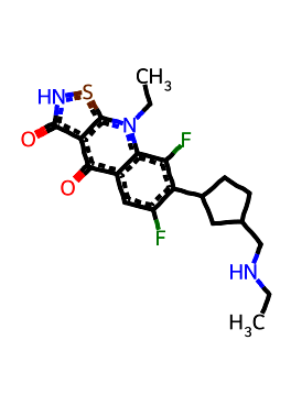 CCNCC1CCC(c2c(F)cc3c(=O)c4c(=O)[nH]sc4n(CC)c3c2F)C1